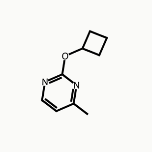 Cc1ccnc(OC2CCC2)n1